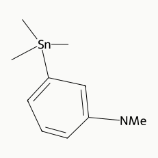 CNc1ccc[c]([Sn]([CH3])([CH3])[CH3])c1